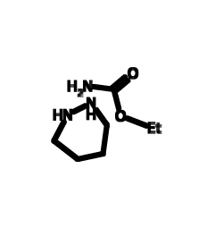 C1CCNNC1.CCOC(N)=O